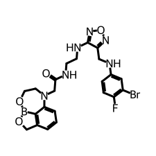 O=C(CN1CCOB2OCc3cccc1c32)NCCNc1nonc1CNc1ccc(F)c(Br)c1